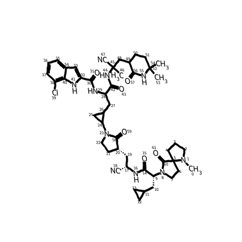 CN1CCCC12CCN([C@H](CC1CC1)C(=O)N[C@H](C#N)C[C@@H]1CCN(C3CC3CC(NC(=O)c3cc4cccc(Cl)c4[nH]3)C(=O)NC(C)(C#N)CC3CCC(C)(C)NC3=O)C1=O)C2=O